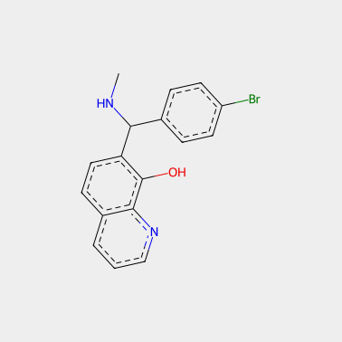 CNC(c1ccc(Br)cc1)c1ccc2cccnc2c1O